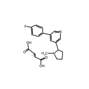 CN1CCCC1c1cncc(-c2ccc(F)cc2)c1.O=C(O)/C=C/C(=O)O